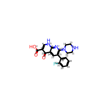 O=C(O)c1c[nH]c2nc(N3CCNCC3)c(-c3ccccc3F)cc2c1=O